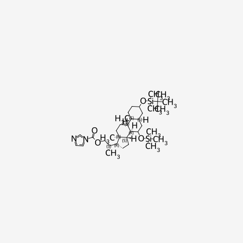 C[C@H](COC(=O)n1ccnc1)[C@H]1CC[C@H]2[C@@H]3C(O[Si](C)(C)C)C[C@@H]4CC(O[Si](C)(C)C(C)(C)C)CC[C@]4(C)[C@H]3CC[C@]12C